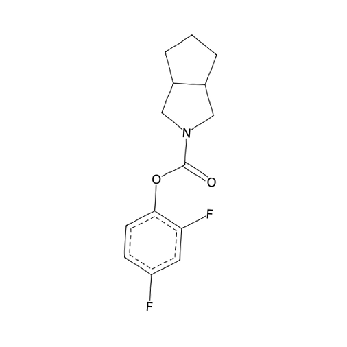 O=C(Oc1ccc(F)cc1F)N1CC2CCCC2C1